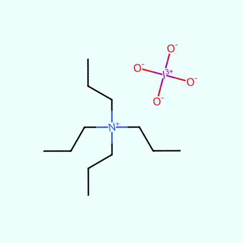 CCC[N+](CCC)(CCC)CCC.[O-][I+3]([O-])([O-])[O-]